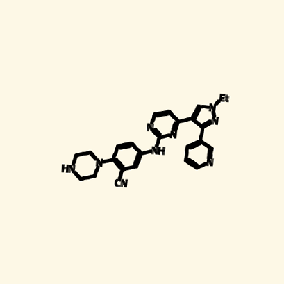 CCn1cc(-c2ccnc(Nc3ccc(N4CCNCC4)c(C#N)c3)n2)c(-c2cccnc2)n1